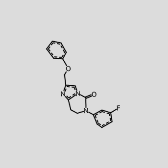 O=C1N(c2cccc(F)c2)CCc2nc(COc3ccccc3)cn21